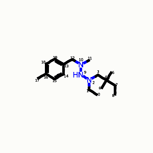 CCN(CC(C)(C)CC)NN(C)Cc1ccc(C)cc1